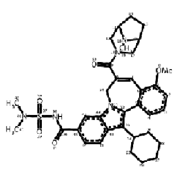 COc1cccc2c1C=C(C(=O)N1CC3CCC(C1)N3C)Cn1c-2c(C2CCCCC2)c2ccc(C(=O)NS(=O)(=O)N(C)C)cc21